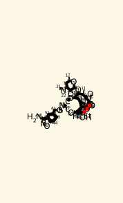 CC[C@H]1OC(=O)[C@@](C)(F)C(=O)[C@H](C)[C@@H](O[C@@H]2O[C@H](C)C[C@H](N(C)C)[C@H]2O)[C@@]2(C)C[C@@H](C)/C(=N\C(C)=O)[C@H](C)[C@@H](OC/C(=N\OCc3ccc4onc(N)c4c3)CO2)[C@]1(C)O